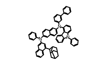 c1ccc(-c2cccc(N(c3ccc4cc(N(c5ccccc5)c5cc(C6C7CC8CC(C7)CC6C8)c6ccccc6c5)ccc4c3)c3cccc4c3c3ccccc3n4-c3ccccc3)c2)cc1